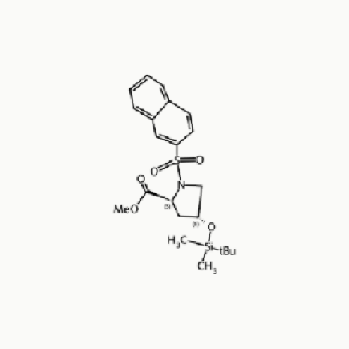 COC(=O)[C@@H]1C[C@@H](O[Si](C)(C)C(C)(C)C)CN1S(=O)(=O)c1ccc2ccccc2c1